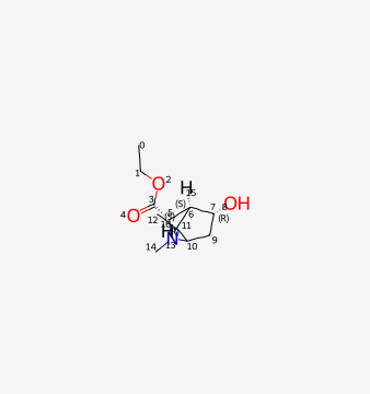 CCOC(=O)[C@@H]1[C@H]2[C@H](O)CC([C@@H]2C)N1C